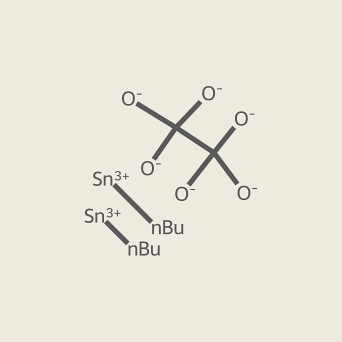 CCC[CH2][Sn+3].CCC[CH2][Sn+3].[O-]C([O-])([O-])C([O-])([O-])[O-]